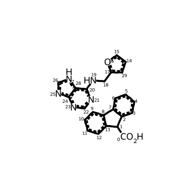 O=C(O)C1c2ccccc2-c2ccccc21.c1coc(CNc2ncnc3nc[nH]c23)c1